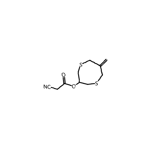 C=C1CSCC(OC(=O)CC#N)CSC1